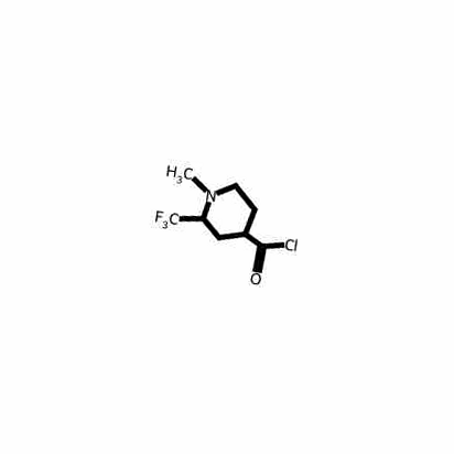 CN1CCC(C(=O)Cl)CC1C(F)(F)F